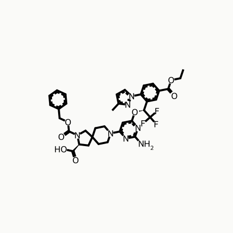 CCOC(=O)c1ccc(-n2ccc(C)n2)c([C@@H](Oc2cc(N3CCC4(CC3)C[C@@H](C(=O)O)N(C(=O)OCc3ccccc3)C4)nc(N)n2)C(F)(F)F)c1